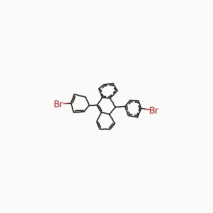 BrC1=CCC(C2=C3C=CC=CC3C(c3ccc(Br)cc3)c3ccccc32)C=C1